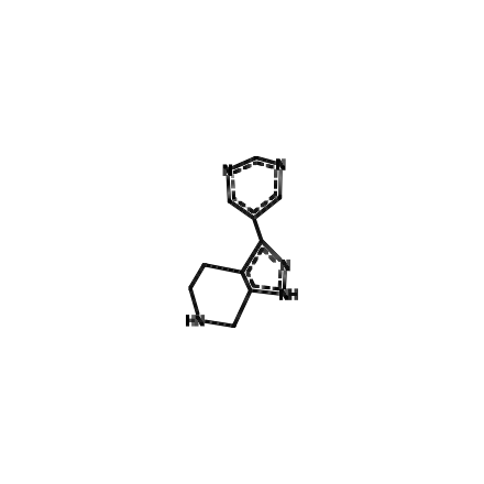 c1ncc(-c2n[nH]c3c2CCNC3)cn1